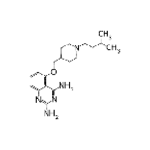 CC(C)CCN1CCC(COc2cccc3nc(N)nc(N)c23)CC1